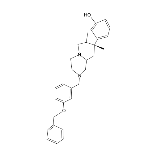 CC1CN2CCN(Cc3cccc(OCc4ccccc4)c3)CC2C[C@@]1(C)c1cccc(O)c1